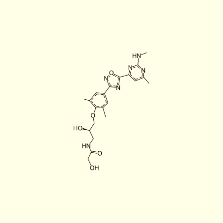 CNc1nc(C)cc(-c2nc(-c3cc(C)c(OC[C@H](O)CNC(=O)CO)c(C)c3)no2)n1